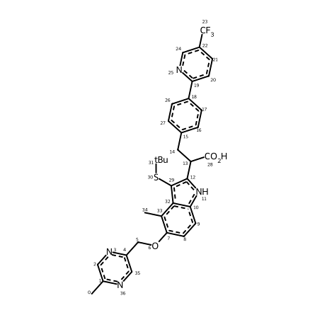 Cc1cnc(COc2ccc3[nH]c(C(Cc4ccc(-c5ccc(C(F)(F)F)cn5)cc4)C(=O)O)c(SC(C)(C)C)c3c2C)cn1